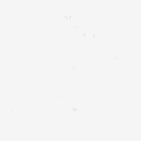 Cc1ccc(OC(=O)Nc2ccc(-c3ccc(O)c4c3C[C@H]3C[C@H]5CC(O)=C(C(N)=O)C(=O)[C@@]5(O)C(O)=C3C4=O)cc2)cc1